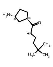 CC(C)(C)CCNC(=O)[C@@H]1CC[C@@H](N)C1